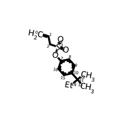 C=CCS(=O)(=O)Oc1ccc(C(C)(C)CC)cc1